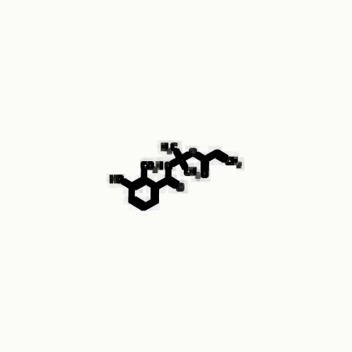 C=CC(=O)OC(C)(C)OC(=O)c1cccc(O)c1C(=O)O